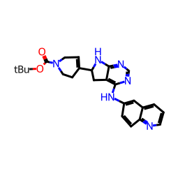 CC(C)(C)OC(=O)N1CC=C(C2Cc3c(Nc4ccc5ncccc5c4)ncnc3N2)CC1